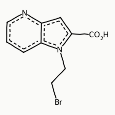 O=C(O)c1cc2ncccc2n1CCBr